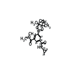 CN(C)C(=O)c1cc(B2OC(C)(C)C(C)(C)O2)cc(C(=O)NC2CC2)c1